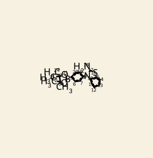 CC1(C)OB(c2ccc(N3c4ccccc4SC3N)cc2)OC1(C)C